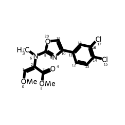 CO/C=C(\C(=O)OC)N(C)c1nc(-c2ccc(Cl)c(Cl)c2)co1